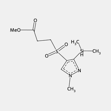 COC(=O)CCS(=O)(=O)c1cn(C)nc1[SiH](C)C